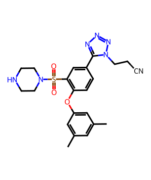 Cc1cc(C)cc(Oc2ccc(-c3nnnn3CCC#N)cc2S(=O)(=O)N2CCNCC2)c1